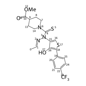 CC=NN(C(=S)N1CCC(C(=O)OC)CC1)c1csc(-c2ccc(C(F)(F)F)cc2)c1O